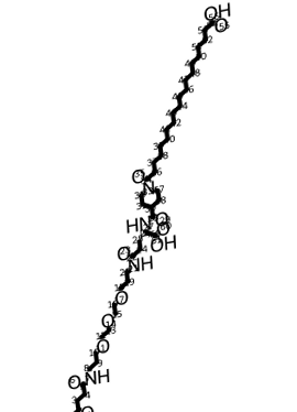 CC(=O)CCC(=O)NCCCOCCOCCOCCCNC(=O)CC[C@H](NC(=O)C1CCN(C(=O)CCCCCCCCCCCCCCCCCCC(=O)O)CC1)C(=O)O